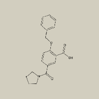 O=C(O)c1cc(C(=O)N2CCCC2)ccc1OCc1ccccc1